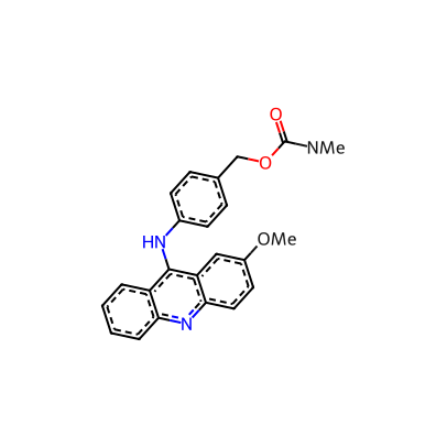 CNC(=O)OCc1ccc(Nc2c3ccccc3nc3ccc(OC)cc23)cc1